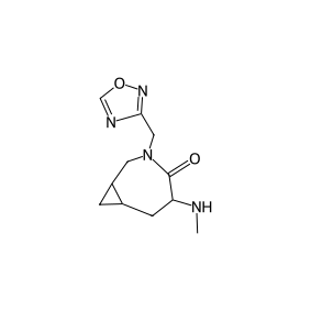 CNC1CC2CC2CN(Cc2ncon2)C1=O